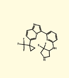 FC1(F)CNCC1Nc1cccc(-c2cnc3ccc(C4(C(F)(F)F)CC4)cn23)n1